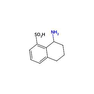 NC1CCCc2cccc(S(=O)(=O)O)c21